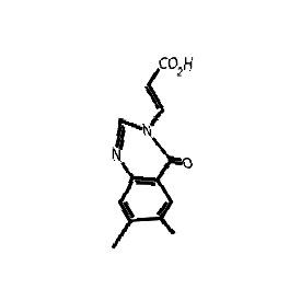 Cc1cc2ncn(C=CC(=O)O)c(=O)c2cc1C